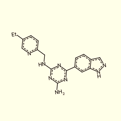 CCc1ccc(CNc2nc(N)nc(-c3ccc4cn[nH]c4c3)n2)nc1